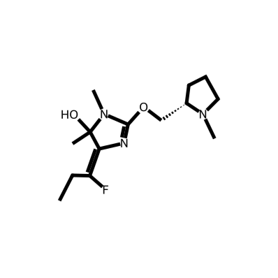 CC/C(F)=C1/N=C(OC[C@@H]2CCCN2C)N(C)C1(C)O